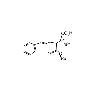 CC(C)[C@@H](C(=O)O)C(CC=Cc1ccccc1)C(=O)OC(C)(C)C